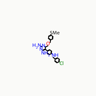 CSc1ccc(COCc2nc(N)nc(N)c2-c2ccc(NCc3ccc(Cl)cc3)cc2)cc1